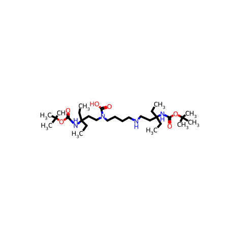 CCC(CC)(CCNCCCCN(CCC(CC)(CC)NC(=O)OC(C)(C)C)C(=O)O)NC(=O)OC(C)(C)C